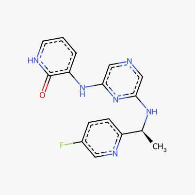 C[C@H](Nc1cncc(Nc2ccc[nH]c2=O)n1)c1ccc(F)cn1